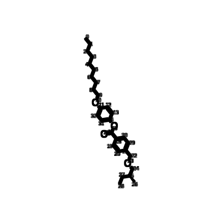 CCCCCCCCCCOc1ccc(OC(=O)c2ccc(COC[C@@H](C)CC)cc2)cc1